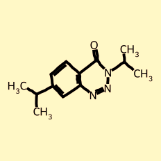 CC(C)c1ccc2c(=O)n(C(C)C)nnc2c1